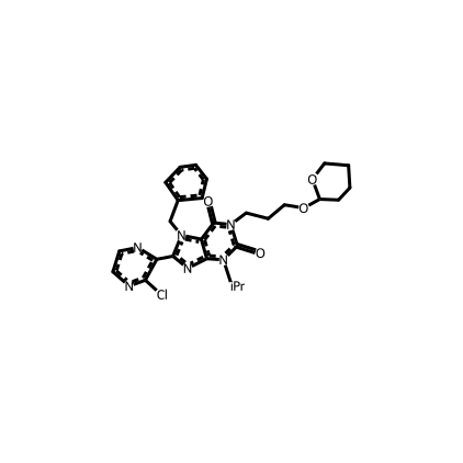 CC(C)n1c(=O)n(CCCOC2CCCCO2)c(=O)c2c1nc(-c1nccnc1Cl)n2Cc1ccccc1